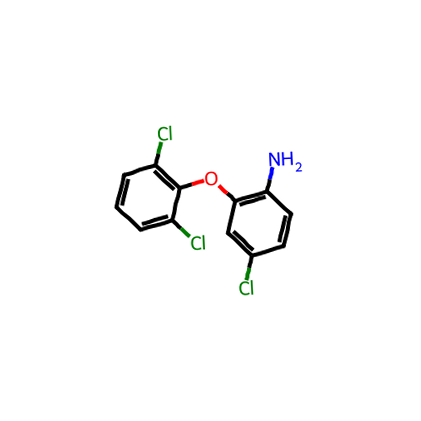 Nc1ccc(Cl)cc1Oc1c(Cl)cccc1Cl